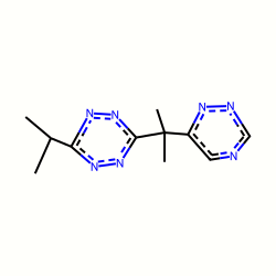 CC(C)c1nnc(C(C)(C)c2cncnn2)nn1